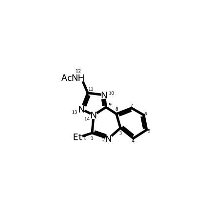 CCc1nc2ccccc2c2nc(NC(C)=O)nn12